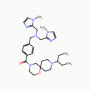 CCC(CC)N1CCC2(CC1)CN(C(=O)c1ccc(CN(Cc3nccn3C)Cc3nccn3C)cc1)CCO2